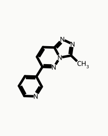 Cc1nnc2ccc(-c3cccnc3)nn12